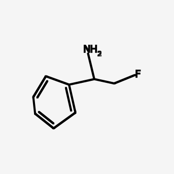 NC(CF)c1ccccc1